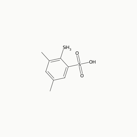 Cc1cc(C)c([SiH3])c(S(=O)(=O)O)c1